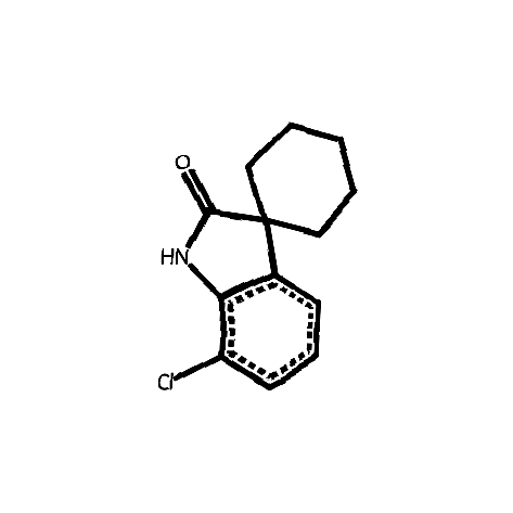 O=C1Nc2c(Cl)cccc2C12CCCCC2